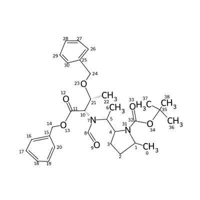 CC1CCC(C(C)N(C=O)[C@H](C(=O)OCc2ccccc2)[C@@H](C)OCc2ccccc2)N1C(=O)OC(C)(C)C